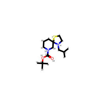 CC(C)CN1CCSC12CCCN(C(=O)OC(C)(C)C)C2